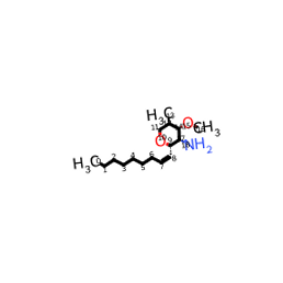 CCCCCCC/C=C\[C@@H]1OC[C@@H](C)[C@H](OC)[C@H]1N